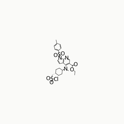 CCOC(=O)c1cnc2c(ccn2S(=O)(=O)c2ccc(C)cc2)c1N(C)[C@H]1CC[C@H](CS(=O)(=O)Cl)CC1